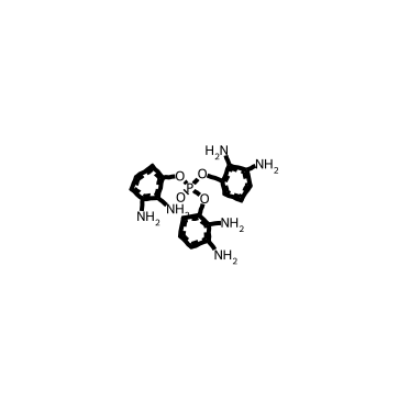 Nc1cccc(OP(=O)(Oc2cccc(N)c2N)Oc2cccc(N)c2N)c1N